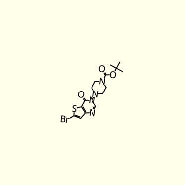 CC(C)(C)OC(=O)N1CCN(n2cnc3cc(Br)sc3c2=O)CC1